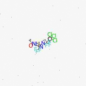 O=C(NCc1sc(N2CCC(c3cc(Cl)c(Cl)c(Cl)c3)(C(F)(F)F)C2)nc1C(F)(F)F)C1CC1